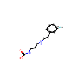 O=C(O)NCCCNCCc1cccc(F)c1